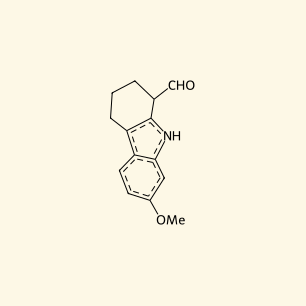 COc1ccc2c3c([nH]c2c1)C(C=O)CCC3